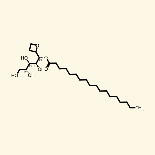 CCCCCCCCCCCCCCCCCC(=O)O[C@@H](C1CCO1)[C@@H](O)[C@H](O)[C@H](O)CO